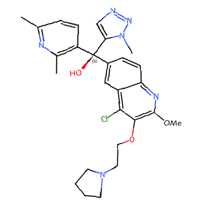 COc1nc2ccc([C@](O)(c3ccc(C)nc3C)c3cnnn3C)cc2c(Cl)c1OCCN1CCCC1